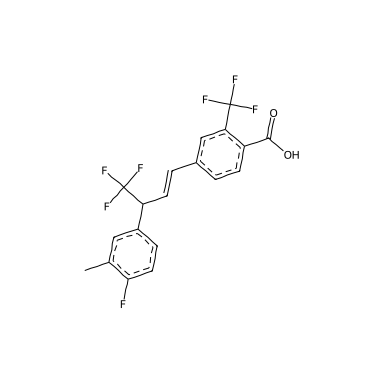 Cc1cc(C(/C=C/c2ccc(C(=O)O)c(C(F)(F)F)c2)C(F)(F)F)ccc1F